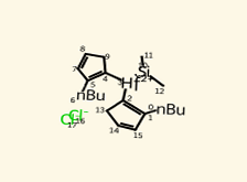 CCCCC1=[C]([Hf+2]([C]2=C(CCCC)C=CC2)=[Si](C)C)CC=C1.[Cl-].[Cl-]